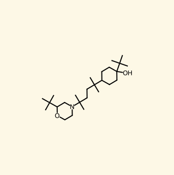 CC(C)(C)C1CN(C(C)(C)CCC(C)(C)C2CCC(O)(C(C)(C)C)CC2)CCO1